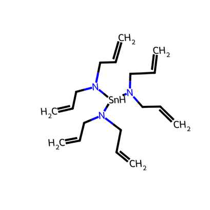 C=CC[N](CC=C)[SnH]([N](CC=C)CC=C)[N](CC=C)CC=C